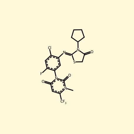 Cn1c(C(F)(F)F)cc(=O)n(-c2cc(N=C3SCC(=O)N3C3CCCC3)c(Cl)cc2F)c1=O